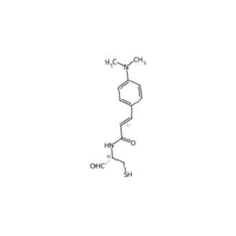 CN(C)c1ccc(/C=C/C(=O)N[C@@H](C=O)CS)cc1